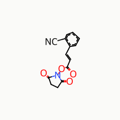 N#Cc1ccccc1C=CC(=O)ON1C(=O)CCC1=O